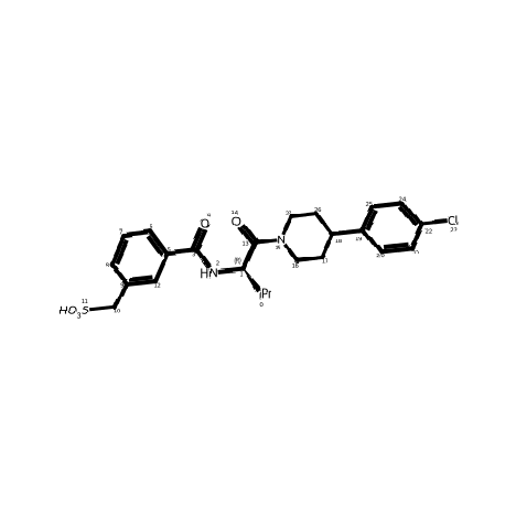 CC(C)[C@@H](NC(=O)c1cccc(CS(=O)(=O)O)c1)C(=O)N1CCC(c2ccc(Cl)cc2)CC1